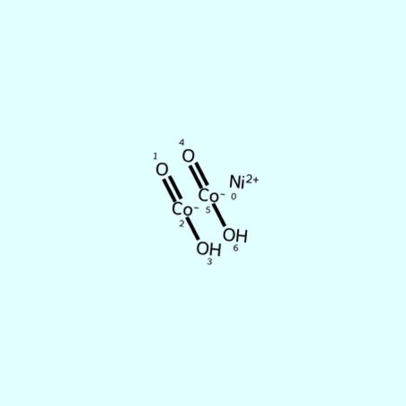 [Ni+2].[O]=[Co-][OH].[O]=[Co-][OH]